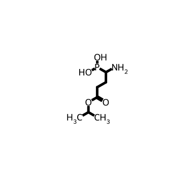 CC(C)OC(=O)CCC(N)P(O)O